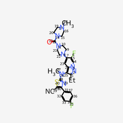 CCc1nn2cc(F)c(N3CCN(C(=O)N4CCN(C)CC4)CC3)cc2c1N(C)c1nc(-c2ccc(F)cc2)c(C#N)s1